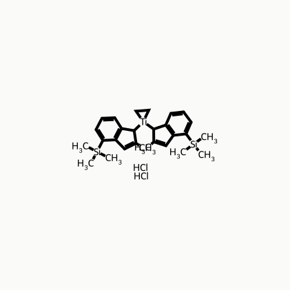 CC1=Cc2c(cccc2[Si](C)(C)C)[CH]1[Ti]1([CH]2C(C)=Cc3c2cccc3[Si](C)(C)C)[CH2][CH2]1.Cl.Cl